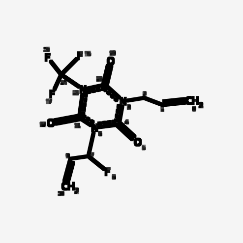 C=CCn1c(=O)n(C(F)C=C)c(=O)n(C(F)(F)F)c1=O